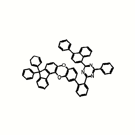 C1=CC(C2(c3ccccc3)c3ccccc3-c3c2ccc2c3Oc3cc(-c4ccccc4-c4nc(-c5ccccc5)nc(-c5ccc(-c6ccccc6)c6ccccc56)n4)ccc3O2)=CCC1